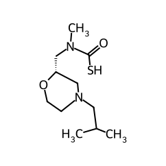 CC(C)CN1CCO[C@H](CN(C)C(=O)S)C1